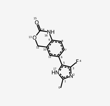 Cc1nc(F)c(-c2ccc3c(c2)COC(=O)N3)[nH]1